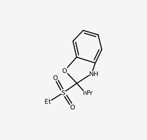 CCCC1(S(=O)(=O)CC)Nc2ccccc2O1